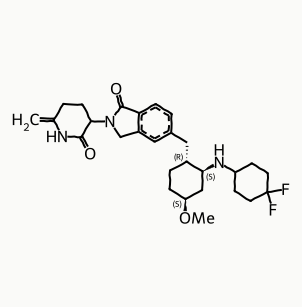 C=C1CCC(N2Cc3cc(C[C@H]4CC[C@H](OC)C[C@@H]4NC4CCC(F)(F)CC4)ccc3C2=O)C(=O)N1